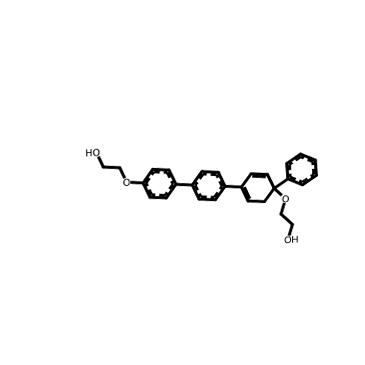 OCCOc1ccc(-c2ccc(C3=CCC(OCCO)(c4ccccc4)C=C3)cc2)cc1